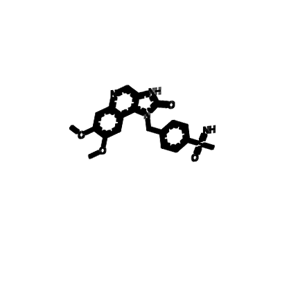 COc1cc2ncc3[nH]c(=O)n(Cc4ccc(S(C)(=N)=O)cc4)c3c2cc1OC